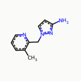 Cc1cccnc1Cn1ccc(N)n1